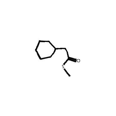 CSC(=O)CC1CCCCC1